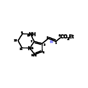 CCOC(=O)/C=C/c1cnn2c1NCCC2